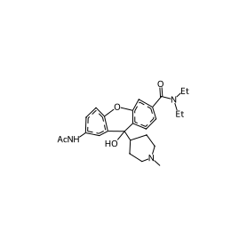 CCN(CC)C(=O)c1ccc2c(c1)Oc1ccc(NC(C)=O)cc1C2(O)C1CCN(C)CC1